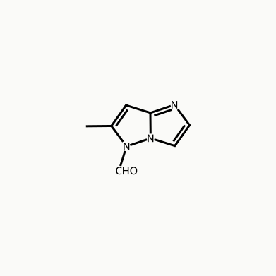 Cc1cc2nccn2n1C=O